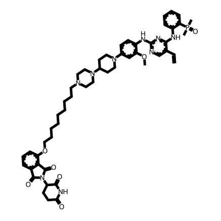 C=Cc1cnc(Nc2ccc(N3CCC(N4CCN(CCCCCCCCCOc5cccc6c5C(=O)N(C5CCC(=O)NC5=O)C6=O)CC4)CC3)cc2OC)nc1Nc1ccccc1P(C)(C)=O